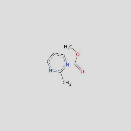 COC=O.Cc1ncccn1